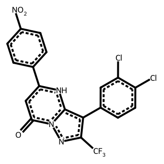 O=c1cc(-c2ccc([N+](=O)[O-])cc2)[nH]c2c(-c3ccc(Cl)c(Cl)c3)c(C(F)(F)F)nn12